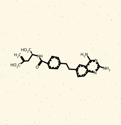 C=C(C[C@H](NC(=O)c1ccc(CCc2ccc3nc(N)nc(N)c3c2)cc1)C(=O)O)C(=O)O